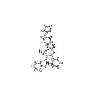 C[n+]1c(C=C2C=CN(Cc3ccccc3)c3ccccc32)sc2cc(-c3cccs3)ccc21